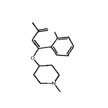 C=C(C)/C=C(/OC1CCN(C)CC1)c1ccccc1C